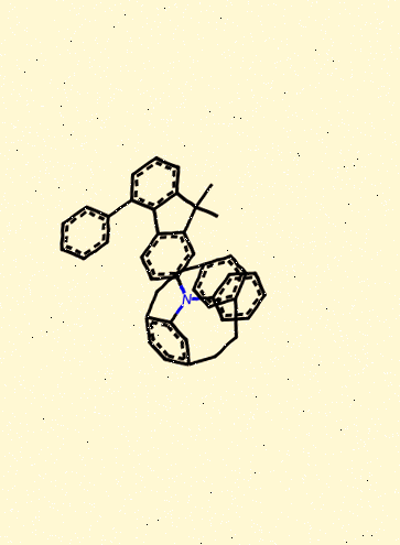 CC1(C)c2cc(N(c3ccccc3)c3cc4ccc3CCc3ccc(cc3)CC4)ccc2-c2c(-c3ccccc3)cccc21